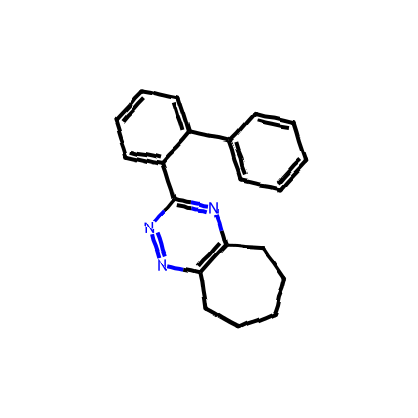 c1ccc(-c2ccccc2-c2nnc3c(n2)CCCCC3)cc1